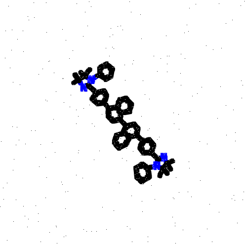 CC1(C)N=C(c2ccc(-c3ccc(-c4ccc(-c5ccc(C6=NC(C)(C)C(C)(C)N6c6ccccc6)cc5)c5ccccc45)c4ccccc34)cc2)N(c2ccccc2)C1(C)C